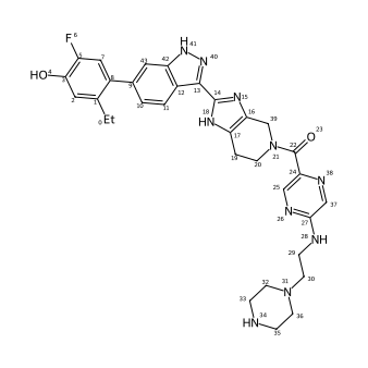 CCc1cc(O)c(F)cc1-c1ccc2c(-c3nc4c([nH]3)CCN(C(=O)c3cnc(NCCN5CCNCC5)cn3)C4)n[nH]c2c1